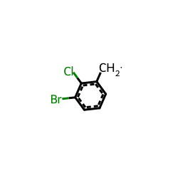 [CH2]c1cccc(Br)c1Cl